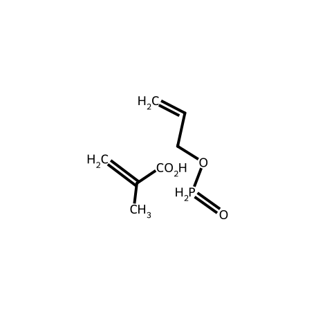 C=C(C)C(=O)O.C=CCO[PH2]=O